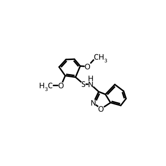 COc1cccc(OC)c1SNc1noc2ccccc12